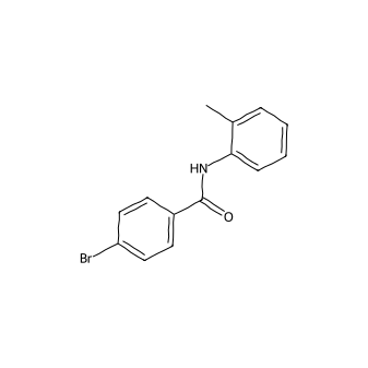 Cc1ccccc1NC(=O)c1ccc(Br)cc1